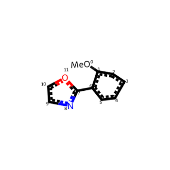 COc1c[c]ccc1-c1ncco1